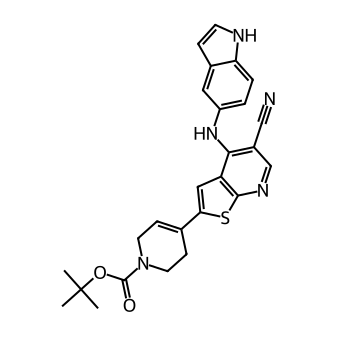 CC(C)(C)OC(=O)N1CC=C(c2cc3c(Nc4ccc5[nH]ccc5c4)c(C#N)cnc3s2)CC1